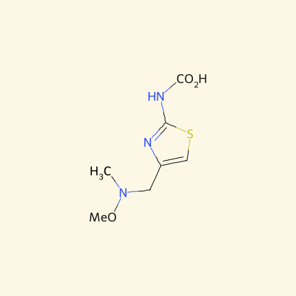 CON(C)Cc1csc(NC(=O)O)n1